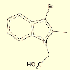 Cc1c(Br)c2ccccc2n1CC(=O)O